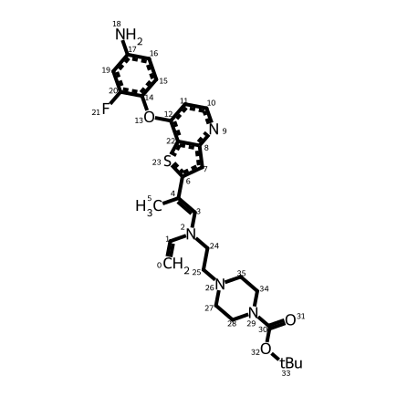 C=CN(/C=C(\C)c1cc2nccc(Oc3ccc(N)cc3F)c2s1)CCN1CCN(C(=O)OC(C)(C)C)CC1